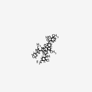 Cc1nc(N2CCOCC2)sc1-c1nc2n(CC(=O)Nc3ccc(C(F)(F)F)cc3Cl)c3c(c(=O)n2n1)C1(CCN(C(=O)c2ncnc(C)c2O)CC1)C[C@H]3C